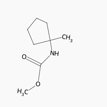 COC(=O)NC1(C)CCCC1